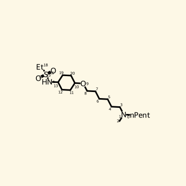 CCCCCN(C)CCCCCCOC1CCC(NS(=O)(=O)CC)CC1